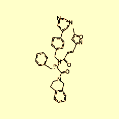 Cc1cc(C=CC(=O)N(Cc2ccc(-c3cncnc3)cc2)[C@@H](Cc2ccccc2)C(=O)N2CCc3ccccc3C2)no1